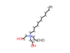 CC(C)CCCCCCCCCC[N+](CCO)(CCO)CCC=O